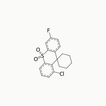 O=S1(=O)c2cc(F)ccc2C2(CCCCC2)c2c(Cl)cccc21